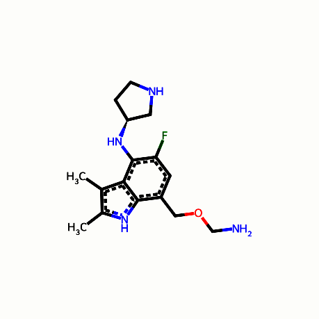 Cc1[nH]c2c(COCN)cc(F)c(N[C@H]3CCNC3)c2c1C